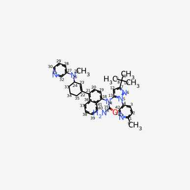 Cc1ccc(-n2nc(C(C)(C)C)cc2N(C(N)=O)c2ccc(C3=CC(N(C)c4cccnc4)CCC3)c3ccccc23)cn1